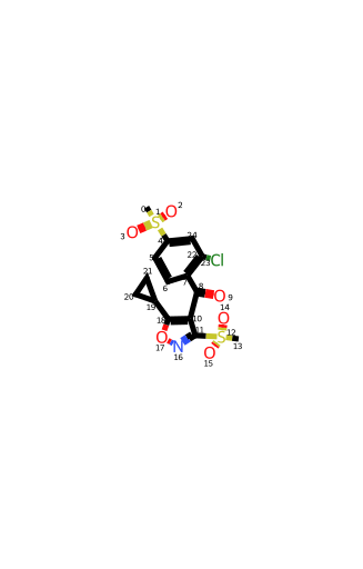 CS(=O)(=O)c1ccc(C(=O)c2c(S(C)(=O)=O)noc2C2CC2)c(Cl)c1